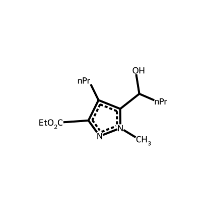 CCCc1c(C(=O)OCC)nn(C)c1C(O)CCC